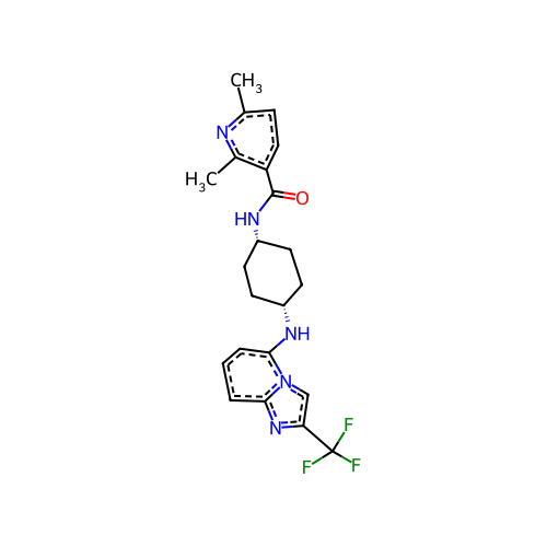 Cc1ccc(C(=O)N[C@H]2CC[C@@H](Nc3cccc4nc(C(F)(F)F)cn34)CC2)c(C)n1